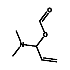 C=CC(OC=O)N(C)C